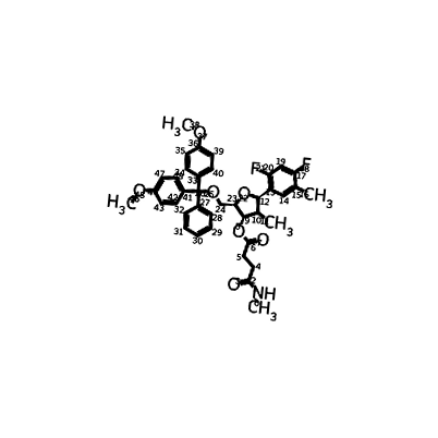 CNC(=O)CCC(=O)O[C@@H]1C(C)[C@H](c2cc(C)c(F)cc2F)O[C@@H]1COC(c1ccccc1)(c1ccc(OC)cc1)c1ccc(OC)cc1